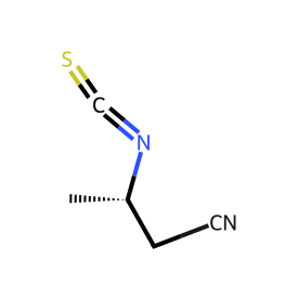 C[C@@H](CC#N)N=C=S